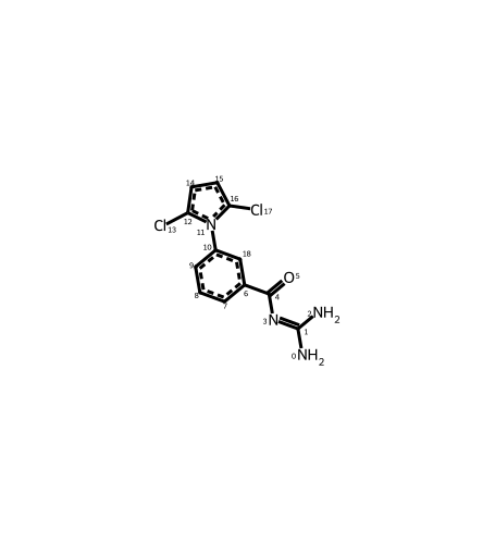 NC(N)=NC(=O)c1cccc(-n2c(Cl)ccc2Cl)c1